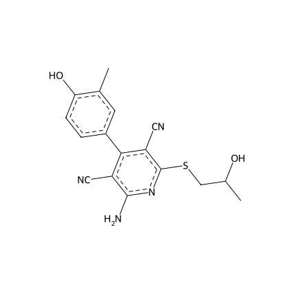 Cc1cc(-c2c(C#N)c(N)nc(SCC(C)O)c2C#N)ccc1O